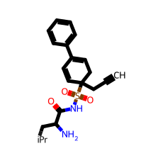 C#CCC1(S(=O)(=O)NC(=O)C(N)CC(C)C)C=CC(c2ccccc2)=CC1